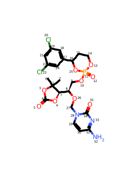 CC1(C)OC(=O)O[C@@H]1[C@@H](COP1(=O)OCCC(c2cc(Cl)cc(Cl)c2)O1)OCn1ccc(N)nc1=O